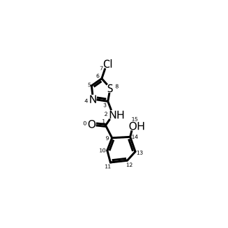 O=C(Nc1ncc(Cl)s1)c1ccccc1O